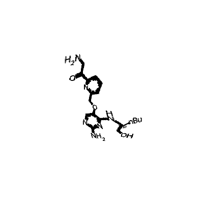 CCCC[C@@H](CO)Nc1nc(N)ncc1OCc1cccc(C(=O)CN)n1